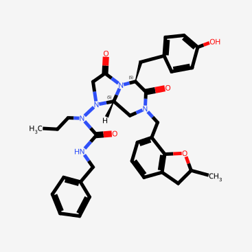 CCCN(C(=O)NCc1ccccc1)N1CC(=O)N2[C@@H](Cc3ccc(O)cc3)C(=O)N(Cc3cccc4c3OC(C)C4)C[C@@H]21